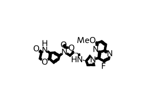 COc1ccc2ncc(F)c(N3CC[C@H](NC[C@@H]4CN(c5ccc6c(c5)NC(=O)CO6)C(=O)O4)C3)c2n1